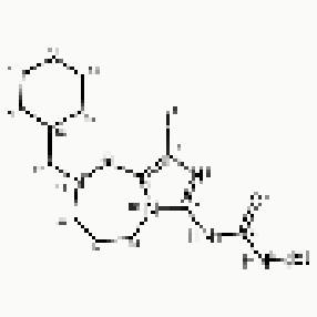 CCNC(=O)Nc1nc(I)c2n1CCCN(CC1CCCCC1)C2